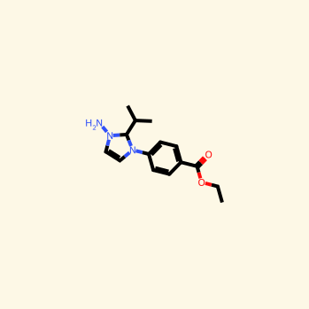 CCOC(=O)c1ccc(N2C=CN(N)C2C(C)C)cc1